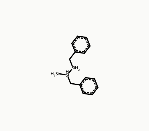 [SiH3][SiH](Cc1ccccc1)[SiH2]Cc1ccccc1